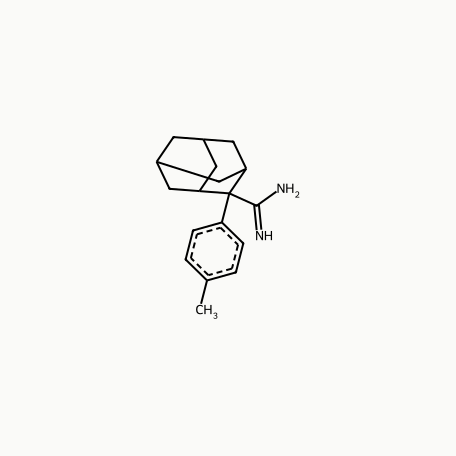 Cc1ccc(C2(C(=N)N)C3CC4CC(C3)CC2C4)cc1